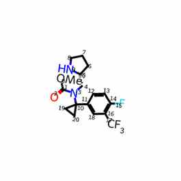 COC(=O)N(C[C@H]1CCCN1)C1(c2ccc(F)c(C(F)(F)F)c2)CC1